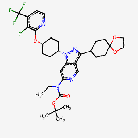 CCN(C(=O)OC(C)(C)C)c1cc2c(cn1)c(C1CCC3(CC1)OCCO3)nn2[C@H]1CC[C@@H](Oc2nccc(C(F)(F)F)c2F)CC1